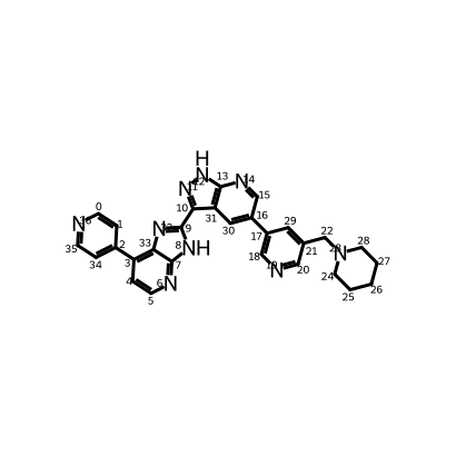 c1cc(-c2ccnc3[nH]c(-c4n[nH]c5ncc(-c6cncc(CN7CCCCC7)c6)cc45)nc23)ccn1